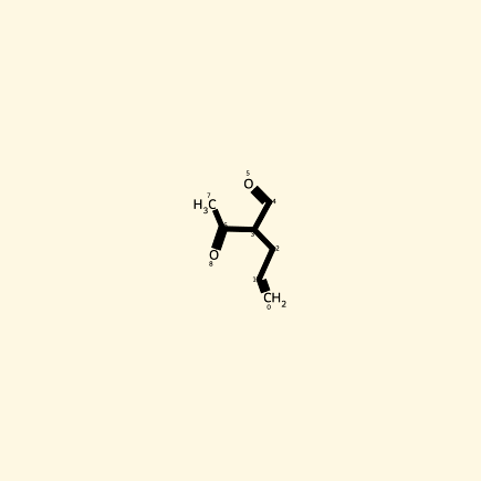 C=CCC([C]=O)C(C)=O